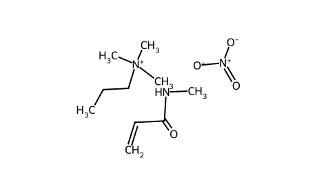 C=CC(=O)NC.CCC[N+](C)(C)C.O=[N+]([O-])[O-]